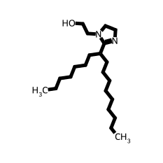 CCCCCCCCCC(CCCCCCC)C1=NCCN1CCO